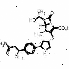 C[C@@H](O)[C@H]1C(=O)N2C(C(=O)O)=C(S[C@@H]3CN[C@@H](c4ccc([C@@H](N)CC(N)=O)cc4)C3)[C@H](C)[C@H]12